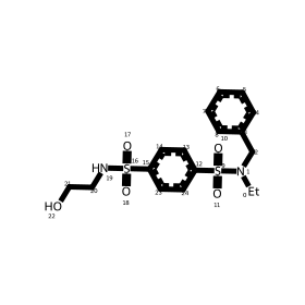 CCN(Cc1ccccc1)S(=O)(=O)c1ccc(S(=O)(=O)NCCO)cc1